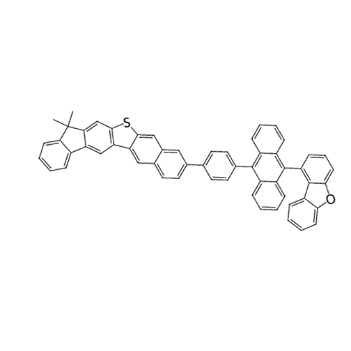 CC1(C)c2ccccc2-c2cc3c(cc21)sc1cc2cc(-c4ccc(-c5c6ccccc6c(-c6cccc7oc8ccccc8c67)c6ccccc56)cc4)ccc2cc13